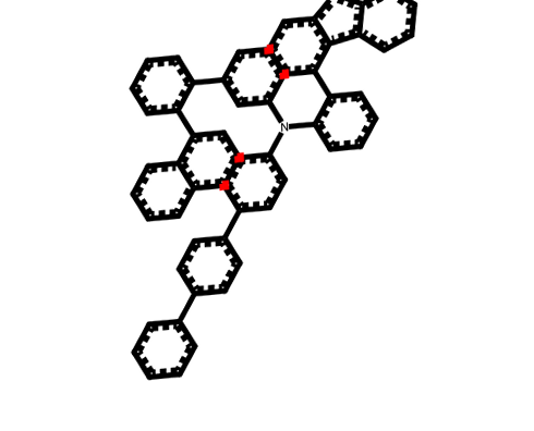 c1ccc(-c2ccc(-c3ccc(N(c4cccc(-c5ccccc5-c5cccc6ccccc56)c4)c4ccccc4-c4cccc5oc6ccccc6c45)cc3)cc2)cc1